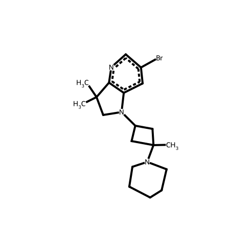 CC1(C)CN(C2CC(C)(N3CCCCC3)C2)c2cc(Br)cnc21